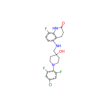 O=C1CCc2c(NCC3(O)CCN(c4c(F)cc(Cl)cc4F)CC3)ccc(F)c2N1